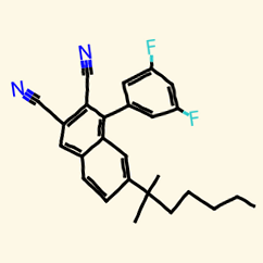 CCCCCC(C)(C)c1ccc2cc(C#N)c(C#N)c(-c3cc(F)cc(F)c3)c2c1